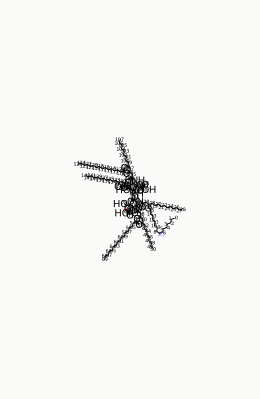 CCCCCC/C=C\CCCCCCCCOC(CCCCCCCCCCC)CC(=O)N[C@H]1C(OC(=O)CC(CCCCCCCCCCC)OC(=O)CCCCCCCCCCCCCCCC)C(OP(=O)(O)O)C(CO)O[C@H]1OCC1OC(OP(=O)(O)O)[C@@H](NC(=O)CC(CCCCCCCCCCC)OC(=O)CCCCCCCCCCCCCCC)C(OC(=O)CC(O)CCCCCCCCCCC)[C@@H]1O